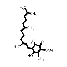 COC1=C(C)C(O)C(C/C=C(\C)CC/C=C(\C)CCC=C(C)C)C(C)C1=O